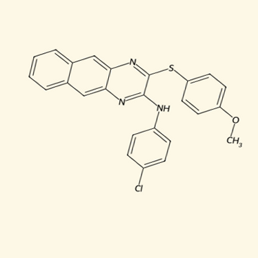 COc1ccc(Sc2nc3cc4ccccc4cc3nc2Nc2ccc(Cl)cc2)cc1